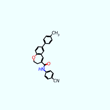 Cc1ccc(-c2ccc3c(c2)C=C(C(=O)Nc2ccc(C#N)cc2)CCO3)cc1